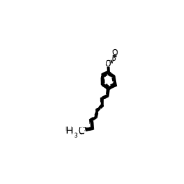 CCCCCCCCc1ccc(OP=O)cc1